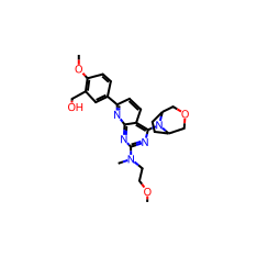 COCCN(C)c1nc(N2C3CCC2COC3)c2ccc(-c3ccc(OC)c(CO)c3)nc2n1